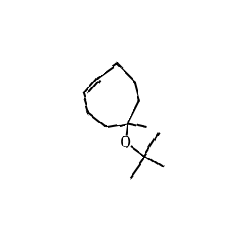 CC(C)(C)OC1(C)CC/C=C\CCC1